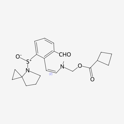 CN(/C=C\c1c(C=O)cccc1[S+]([O-])N1CCCC12CC2)COC(=O)C1CCC1